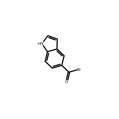 O=C(Br)c1ccc2[nH]ccc2c1